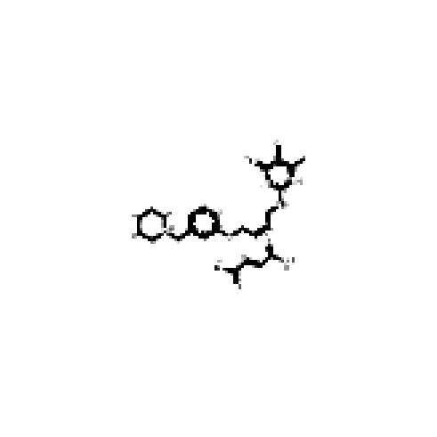 Cc1[nH]c(NC/C=C\COc2cccc(CN3CCCCC3)c2)nc(=O)c1C.O=C(O)/C=C/C(=O)O